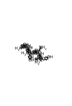 C[C@@H](Cc1ccc(O)cc1)CN(CC(=O)N[C@@H](CCCCN)CN(CC(=O)N[C@@H](Cc1ccc(O)cc1)CN(CC(=O)N[C@@H](C)CN(CC(N)=O)S(C)(=O)=O)S(C)(=O)=O)S(C)(=O)=O)S(=O)(=O)CCN